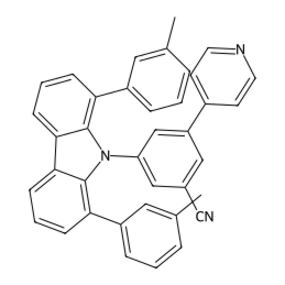 Cc1cccc(-c2cccc3c4cccc(-c5cccc(C)c5)c4n(-c4cc(C#N)cc(-c5ccncc5)c4)c23)c1